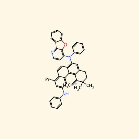 C/C=C1\c2c(cc(N(c3ccccc3)c3ccnc4c3oc3ccccc34)c3ccc4c(C(C)C)cc(Nc5ccccc5)cc4c23)CCC1(C)C